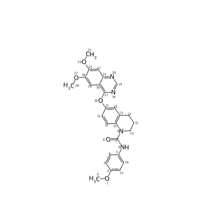 COc1ccc(NC(=O)N2CCCc3cc(Oc4ncnc5cc(OC)c(OC)cc45)ccc32)cc1